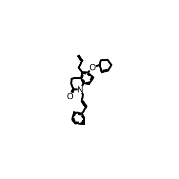 C=CCc1c(OC2C=CCCC2)ccc2c1CCC(=O)N2C/C=C/c1ccccc1